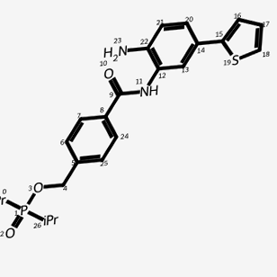 CC(C)P(=O)(OCc1ccc(C(=O)Nc2cc(-c3cccs3)ccc2N)cc1)C(C)C